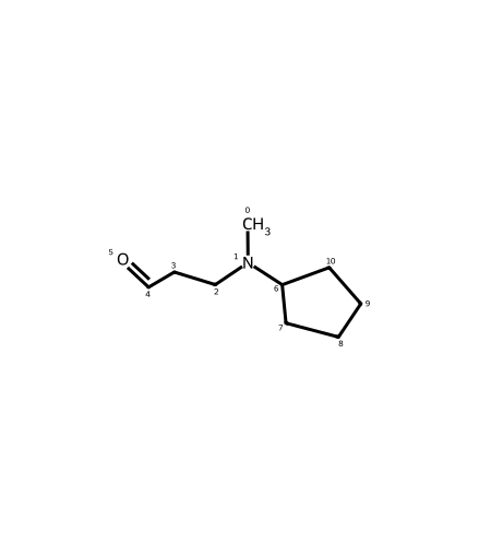 CN(CCC=O)C1CCCC1